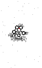 Cc1ccc2c(c1)[CH]([Zr+2]([C]1=CC([Si](C)(C)C)=C([Si](C)(C)C)C1[Si](C)(C)C)=[C](c1ccccc1)c1ccccc1)c1cc(C)ccc1-2.[Cl-].[Cl-]